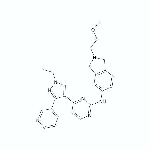 CCn1cc(-c2ccnc(Nc3ccc4c(c3)CN(CCOC)C4)n2)c(-c2cccnc2)n1